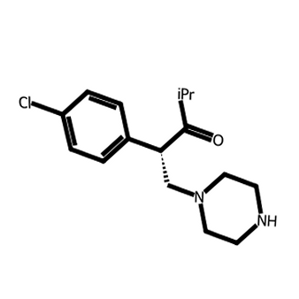 CC(C)C(=O)[C@H](CN1CCNCC1)c1ccc(Cl)cc1